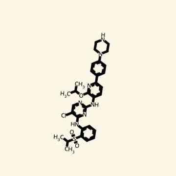 CC(C)Oc1nc(-c2ccc(N3CCNCC3)cc2)ccc1Nc1ncc(Cl)c(Nc2ccccc2S(=O)(=O)C(C)C)n1